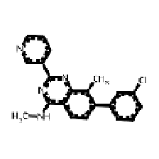 CNc1nc(-c2cccnc2)nc2c(C)c(-c3cccc(Cl)c3)ccc12